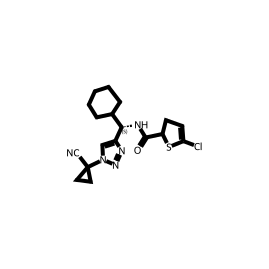 N#CC1(n2cc([C@@H](NC(=O)C3CC=C(Cl)S3)C3CCCCC3)nn2)CC1